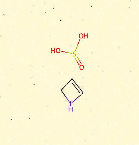 C1=C[IH]C1.O=S(O)O